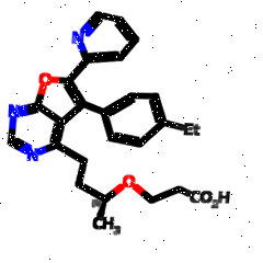 CCc1ccc(-c2c(-c3ccccn3)oc3ncnc(CC[C@H](C)OCCC(=O)O)c23)cc1